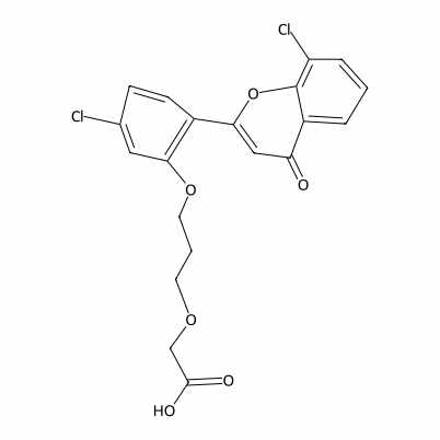 O=C(O)COCCCOc1cc(Cl)ccc1-c1cc(=O)c2cccc(Cl)c2o1